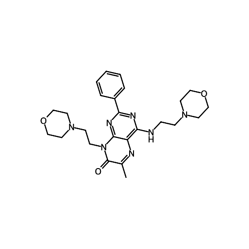 Cc1nc2c(NCCN3CCOCC3)nc(-c3ccccc3)nc2n(CCN2CCOCC2)c1=O